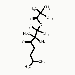 CC(C)CCC(=O)C(C)(C)C(C)(C)OC(=O)C(C)(C)C